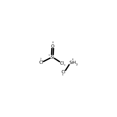 O=[Si](Cl)Cl.[SiH3]Cl